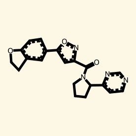 O=C(c1cc(-c2ccc3c(c2)CCO3)on1)N1CCCC1c1ccncn1